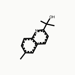 Cc1ccc2nc(C(C)(C)O)ccc2c1